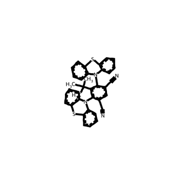 CC(C)(C)c1c(N2c3ccccc3Sc3ccccc32)c(C#N)cc(C#N)c1N1c2ccccc2Sc2ccccc21